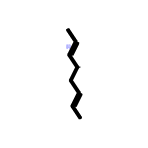 CC=CC[CH]/C=C/C